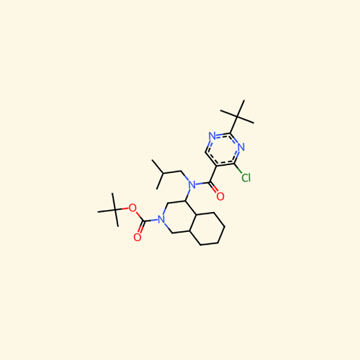 CC(C)CN(C(=O)c1cnc(C(C)(C)C)nc1Cl)C1CN(C(=O)OC(C)(C)C)CC2CCCCC21